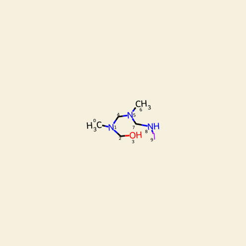 CN(CO)CN(C)CNI